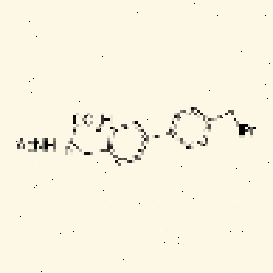 CC(=O)N[C@@H](Cc1ccc(-c2ccc(CC(C)C)cc2)cc1)C(=O)O